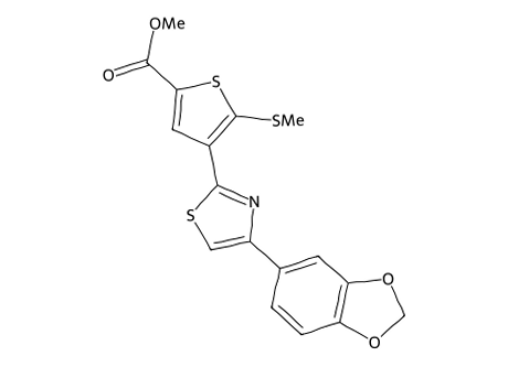 COC(=O)c1cc(-c2nc(-c3ccc4c(c3)OCO4)cs2)c(SC)s1